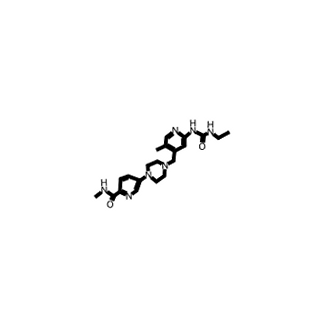 CCNC(=O)Nc1cc(CN2CCN(c3ccc(C(=O)NC)nc3)CC2)c(C)cn1